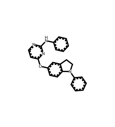 c1ccc(Nc2nccc(Oc3ccc4c(c3)CCN4c3ccccc3)n2)cc1